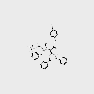 CC[C@H](O[Si](C)(C)C(C)(C)C)[C@@H]1C(=O)N(C(C(=O)OCc2ccc([N+](=O)[O-])cc2)=C(SC(=O)c2ccccc2)SC(=O)c2ccccc2)[C@H]1Sc1ccccc1